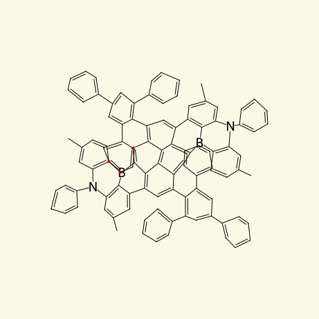 Cc1ccc2c(c1)N(c1ccccc1)c1cc(C)cc3c1B2c1cc2c(-c4c(-c5ccccc5)cc(-c5ccccc5)cc4-c4ccccc4)cc4c5c(cc6c(-c7c(-c8ccccc8)cc(-c8ccccc8)cc7-c7ccccc7)cc-3c1c6c25)B1c2ccc(C)cc2N(c2ccccc2)c2cc(C)cc-4c21